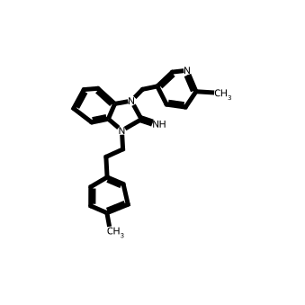 Cc1ccc(CCn2c(=N)n(Cc3ccc(C)nc3)c3ccccc32)cc1